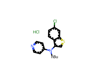 CCCCN(c1ccncc1)c1csc2cc(Cl)ccc12.Cl